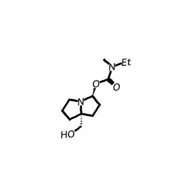 CCN(C)C(=O)O[C@H]1CC[C@@]2(CO)CCCN12